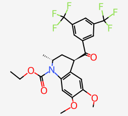 CCOC(=O)N1c2cc(OC)c(OC)cc2[C@H](C(=O)c2cc(C(F)(F)F)cc(C(F)(F)F)c2)C[C@H]1C